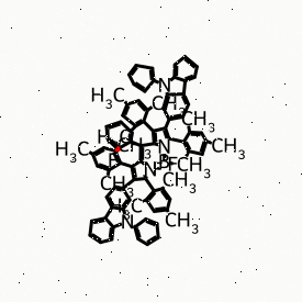 Cc1cc(C)c(C2=N/C(=C(/c3ccccc3F)c3c(-c4c(C)cc(C)cc4C)c(-c4ccc5c6ccccc6n(-c6ccccc6)c5c4)c(-c4c(C)cc(C)cc4C)n3B(F)F)C(c3c(C)cc(C)cc3C)=C2c2ccc3c4ccccc4n(-c4ccccc4)c3c2)c(C)c1